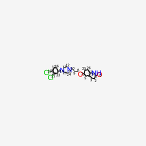 O=c1ccc2cc(OCCCN3CCN(c4ccc(Cl)c(Cl)c4)CC3)ccc2[nH]1